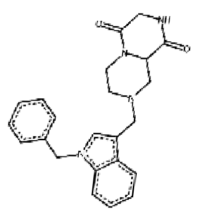 O=C1NCC(=O)N2CCN(Cc3cn(Cc4ccccc4)c4ccccc34)CC12